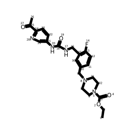 CCOC(=O)N1CCN(Cc2ccc(F)c(CNC(=O)Nc3ccc(C(C)=O)nc3)c2)CC1